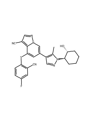 Cc1c(-c2cc(Sc3ccc(F)cc3C#N)c3c(C#N)cnn3c2)cnn1[C@@H]1CCCC[C@H]1O